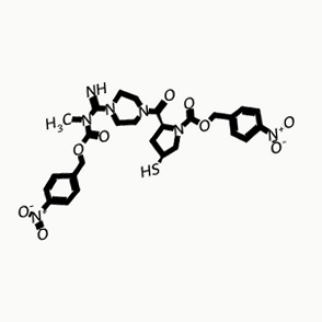 CN(C(=N)N1CCN(C(=O)[C@@H]2C[C@H](S)CN2C(=O)OCc2ccc([N+](=O)[O-])cc2)CC1)C(=O)OCc1ccc([N+](=O)[O-])cc1